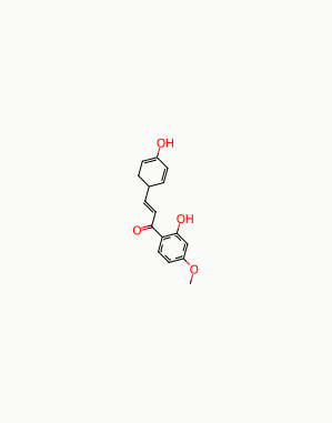 COc1ccc(C(=O)C=CC2C=CC(O)=CC2)c(O)c1